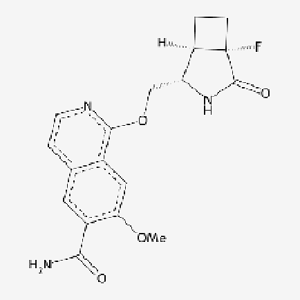 COc1cc2c(OC[C@H]3NC(=O)[C@]4(F)CC[C@H]34)nccc2cc1C(N)=O